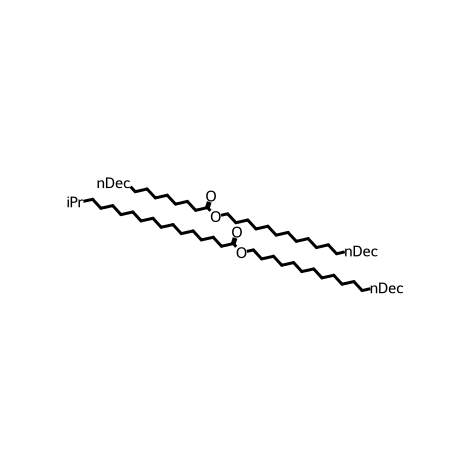 CCCCCCCCCCCCCCCCCCCCCCOC(=O)CCCCCCCCCCCCCCC(C)C.CCCCCCCCCCCCCCCCCCCCCCOC(=O)CCCCCCCCCCCCCCCCC